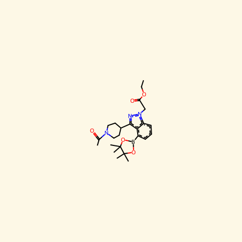 CCOC(=O)Cn1nc(C2CCN(C(C)=O)CC2)c2c(B3OC(C)(C)C(C)(C)O3)cccc21